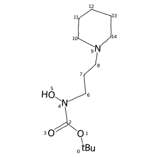 CC(C)(C)OC(=O)N(O)CCCN1CCCCC1